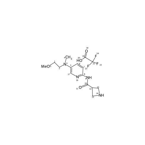 COCCN(C)c1ccc(NC(=O)C2CNC2)nc1.O=C(O)C(F)(F)F